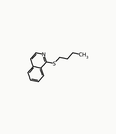 CCCCSc1nccc2ccccc12